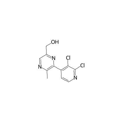 Cc1ncc(CO)nc1-c1ccnc(Cl)c1Cl